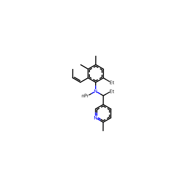 C/C=C\c1c(C)c(C)cc(CC)c1N(CCC)C(CC)c1ccc(C)nc1